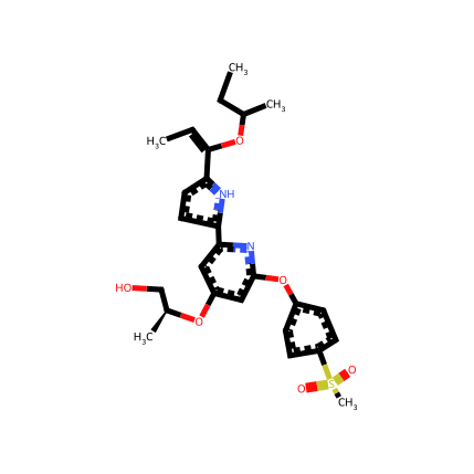 C/C=C(/OC(C)CC)c1ccc(-c2cc(O[C@@H](C)CO)cc(Oc3ccc(S(C)(=O)=O)cc3)n2)[nH]1